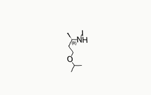 CC(C)OCC[C@@H](C)NI